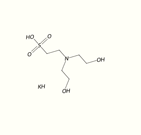 O=S(=O)(O)CCN(CCO)CCO.[KH]